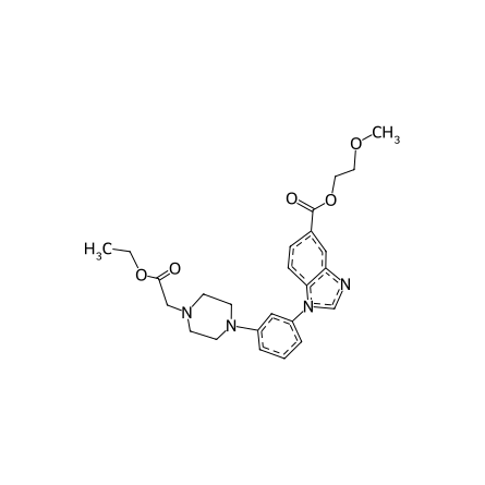 CCOC(=O)CN1CCN(c2cccc(-n3cnc4cc(C(=O)OCCOC)ccc43)c2)CC1